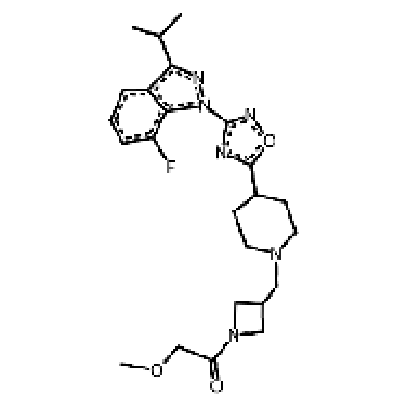 COCC(=O)N1CC(CN2CCC(c3nc(-n4nc(C(C)C)c5cccc(F)c54)no3)CC2)C1